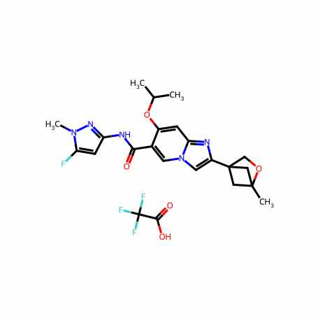 CC(C)Oc1cc2nc(C34COC(C)(C3)C4)cn2cc1C(=O)Nc1cc(F)n(C)n1.O=C(O)C(F)(F)F